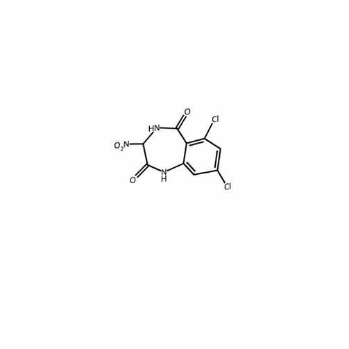 O=C1NC([N+](=O)[O-])C(=O)Nc2cc(Cl)cc(Cl)c21